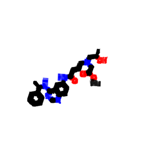 C[C@@H](O)CN(C/C=C/C(=O)Nc1ccc2ncnc(N[C@H](C)c3ccccc3)c2c1)CC(=O)OC(C)(C)C